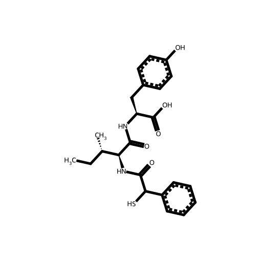 CC[C@H](C)[C@H](NC(=O)C(S)c1ccccc1)C(=O)N[C@@H](Cc1ccc(O)cc1)C(=O)O